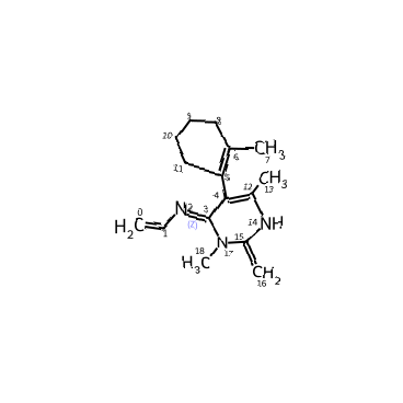 C=C/N=C1/C(C2=C(C)CCCC2)=C(C)NC(=C)N1C